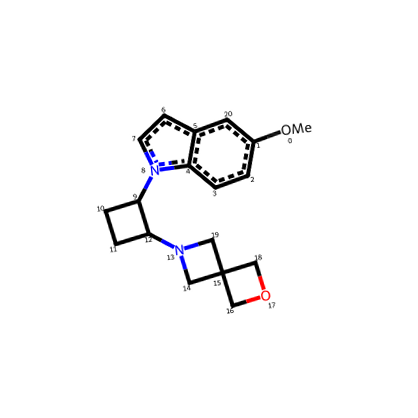 COc1ccc2c(ccn2C2CCC2N2CC3(COC3)C2)c1